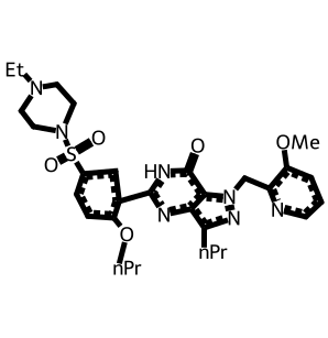 CCCOc1ccc(S(=O)(=O)N2CCN(CC)CC2)cc1-c1nc2c(CCC)nn(Cc3ncccc3OC)c2c(=O)[nH]1